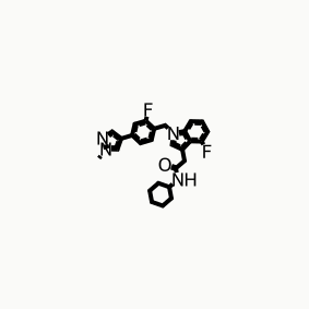 Cn1cc(-c2ccc(Cn3cc(CC(=O)NC4CCCCC4)c4c(F)cccc43)c(F)c2)cn1